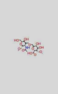 COC[C@@H]1OC(CO)[C@@H](O)[C@@H](COC[C@@H]2OC(C(=O)O)[C@@H](COC)[C@@H](O)C2O)C1NC(C)=O